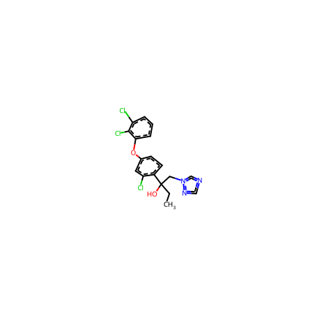 CCC(O)(Cn1cncn1)c1ccc(Oc2cccc(Cl)c2Cl)cc1Cl